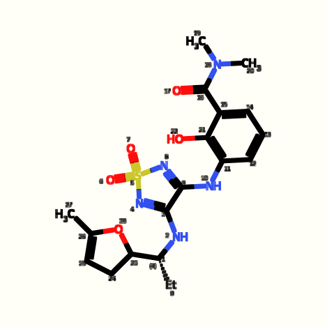 CC[C@@H](NC1=NS(=O)(=O)N=C1Nc1cccc(C(=O)N(C)C)c1O)C1CC=C(C)O1